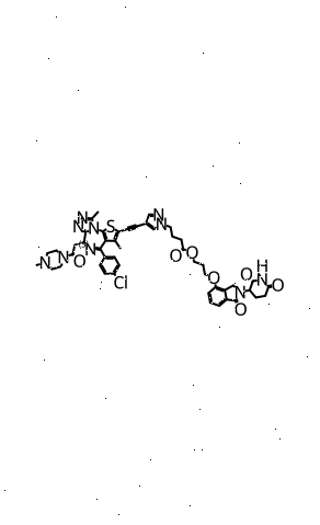 Cc1c(C#Cc2cnn(CCCC(=O)OCCCOc3cccc4c3CN(C3CCC(=O)NC3=O)C4=O)c2)sc2c1C(c1ccc(Cl)cc1)=N[C@@H](CC(=O)N1CCN(C)CC1)c1nnc(C)n1-2